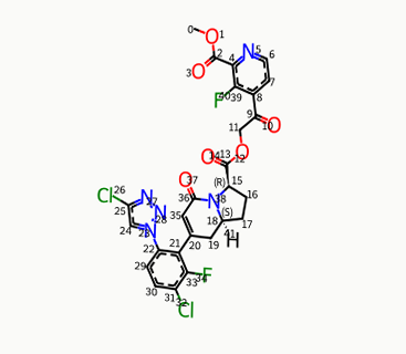 COC(=O)c1nccc(C(=O)COC(=O)[C@H]2CC[C@H]3CC(c4c(-n5cc(Cl)nn5)ccc(Cl)c4F)=CC(=O)N32)c1F